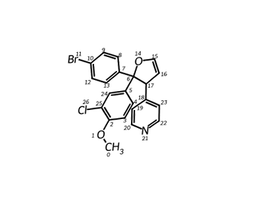 COc1ccc(C2(c3ccc(Br)cc3)OC=CC2c2ccncc2)cc1Cl